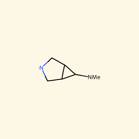 CNC1C2C[N]CC21